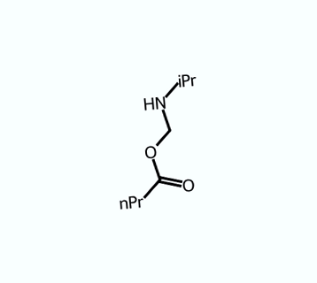 CCCC(=O)OCNC(C)C